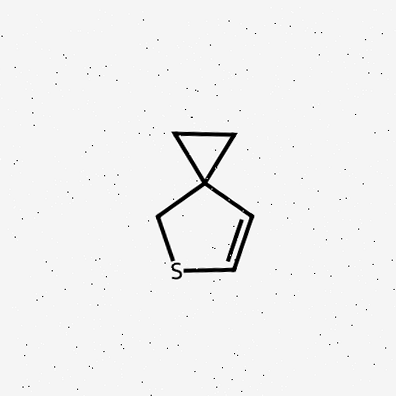 C1=CC2(CC2)CS1